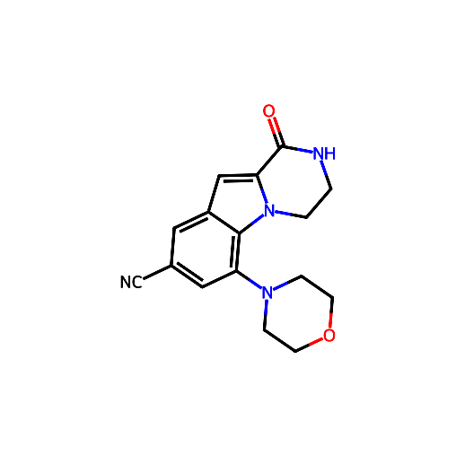 N#Cc1cc(N2CCOCC2)c2c(c1)cc1n2CCNC1=O